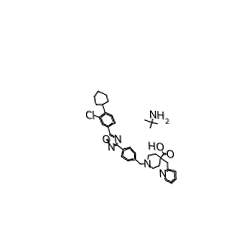 CC(C)(C)N.O=C(O)C1(Cc2ccccn2)CCN(Cc2ccc(-c3noc(-c4ccc(C5CCCCC5)c(Cl)c4)n3)cc2)CC1